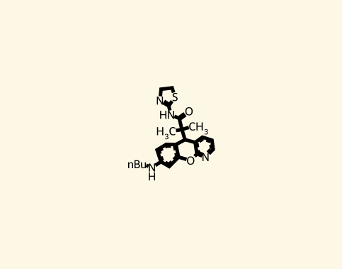 CCCCNc1ccc2c(c1)Oc1ncccc1C2C(C)(C)C(=O)NC1=NCCS1